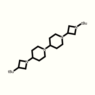 CC(C)(C)C1CN(C2CCN(C3CCN(C4CN(C(C)(C)C)C4)CC3)CC2)C1